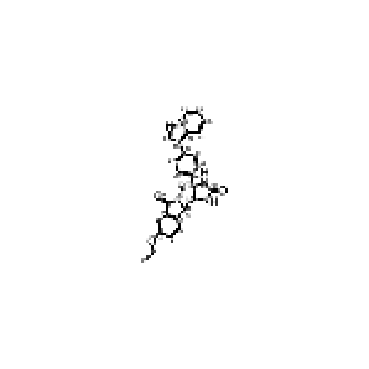 CCOc1ccc2c(c1)C(=O)N(C[C@@]1(c3ccc(-c4cnn5ccccc45)cc3)NC(=O)NC1=O)C2